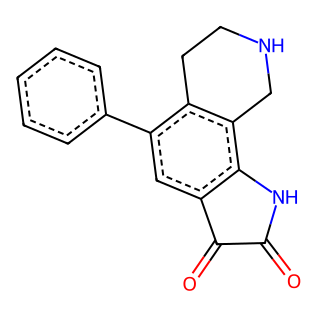 O=C1Nc2c(cc(-c3ccccc3)c3c2CNCC3)C1=O